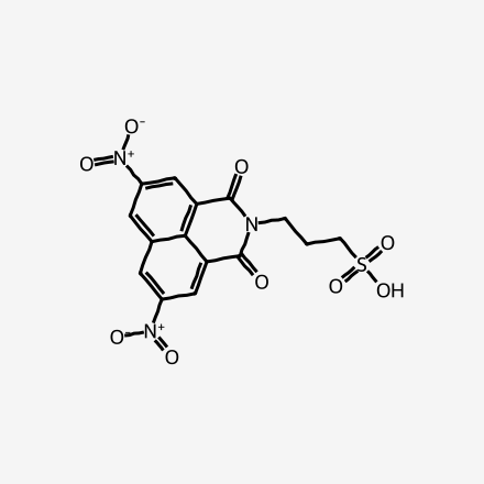 O=C1c2cc([N+](=O)[O-])cc3cc([N+](=O)[O-])cc(c23)C(=O)N1CCCS(=O)(=O)O